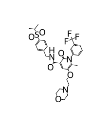 Cc1c(OCCN2CCOCC2)cc(C(=O)NCc2ccc(S(=O)(=O)C(C)C)cc2)c(=O)n1-c1cccc(C(F)(F)F)c1